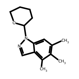 Cc1cc2c(cnn2C2CCCCO2)c(C)c1C